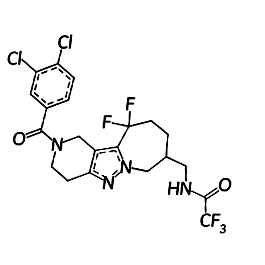 O=C(c1ccc(Cl)c(Cl)c1)N1CCc2nn3c(c2C1)C(F)(F)CCC(CNC(=O)C(F)(F)F)C3